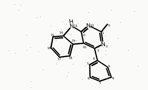 Cc1nc(-c2ccccc2)c2c(n1)[nH]c1ccccc12